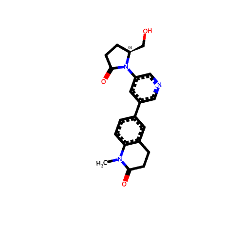 CN1C(=O)CCc2cc(-c3cncc(N4C(=O)CC[C@H]4CO)c3)ccc21